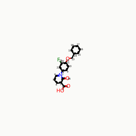 O=C(O)c1cccn(-c2ccc(OCc3ccccc3)c(F)c2)c1=O